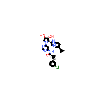 O=C(Nc1cc(N2C[C@@H](O)[C@@H](O)[C@@H]2c2cn3cc(C4CC4)ccc3n2)ncn1)[C@H]1C[C@@H]1c1cccc(Cl)c1